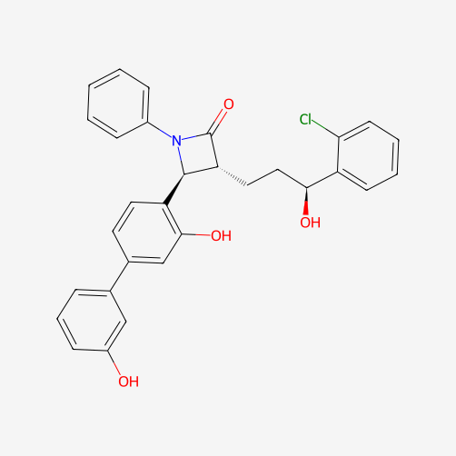 O=C1[C@H](CC[C@H](O)c2ccccc2Cl)[C@@H](c2ccc(-c3cccc(O)c3)cc2O)N1c1ccccc1